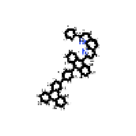 c1ccc(-c2ccc3ccc4ccc(-c5c6ccccc6c(-c6ccc(-c7ccc8c9ccccc9c9ccccc9c8c7)cc6)c6ccccc56)nc4c3n2)cc1